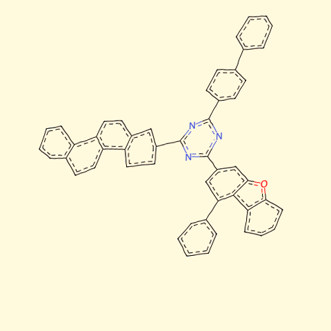 c1ccc(-c2ccc(-c3nc(-c4ccc5c(ccc6c7ccccc7ccc56)c4)nc(-c4cc(-c5ccccc5)c5c(c4)oc4ccccc45)n3)cc2)cc1